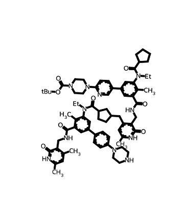 CCN(C(=O)C1CCCC1)c1cc(-c2ccc(N3CCN(C(=O)OC(C)(C)C)CC3)nc2)cc(C(=O)NCc2c(CC3CCC(C(=O)N(CC)c4cc(-c5ccc(N6CCNCC6)cc5)cc(C(=O)NCc5c(C)cc(C)[nH]c5=O)c4C)C3)cc(C)[nH]c2=O)c1C